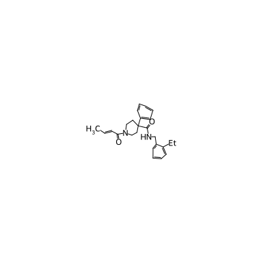 C/C=C/C(=O)N1CCC(C(=O)NCc2ccccc2CC)(c2ccccc2)CC1